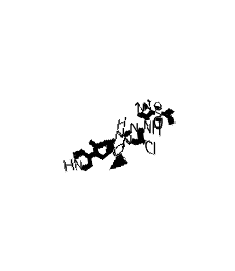 Cc1cc(Nc2ncc(Cl)c(NC3=CN(C)N(C)C3S(=O)(=O)C(C)C)n2)c(OC2CC2)cc1C1CCNCC1